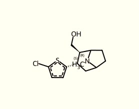 CN1C2CCC1[C@H](CO)[C@@H](c1ccc(Cl)s1)C2